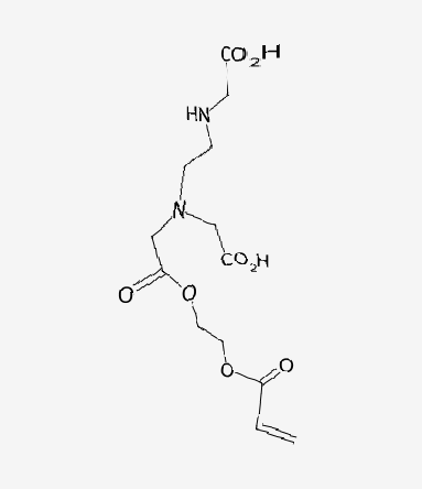 C=CC(=O)OCCOC(=O)CN(CCNCC(=O)O)CC(=O)O